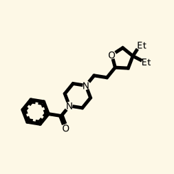 CCC1(CC)COC(CCN2CCN(C(=O)c3ccccc3)CC2)C1